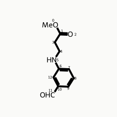 COC(=O)CCNc1cccc(C=O)c1